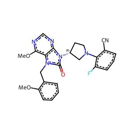 COc1ccccc1Cn1c(=O)n([C@@H]2CCN(c3c(F)cccc3C#N)C2)c2ncnc(OC)c21